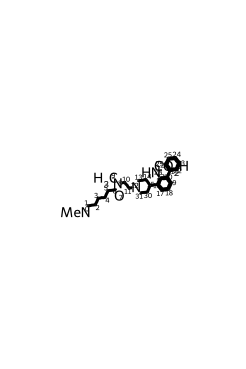 CNCCCCCC(=O)N(C)CCN1CCC(c2cccc(-c3ccccc3)c2NC(=O)O)CC1